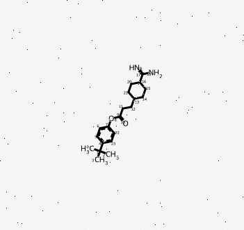 CC(C)(C)c1ccc(OC(=O)CCC2CCC(C(=N)N)CC2)cc1